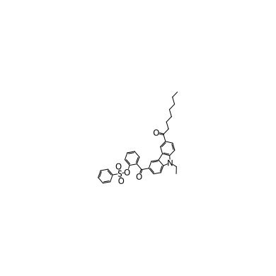 CCCCCCCC(=O)c1ccc2c(c1)c1cc(C(=O)c3ccccc3OS(=O)(=O)c3ccccc3)ccc1n2CC